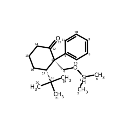 C[SiH](C)OC[C@@]1(c2ccccc2)C(=O)CCC[C@H]1C(C)(C)C